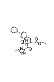 CCOC(=O)CC(Cc1ccc(-c2ccccc2)cc1Cl)NC(=O)c1nn[nH]n1